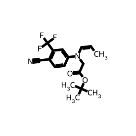 C/C=C\N(CC(=O)OC(C)(C)C)c1ccc(C#N)c(C(F)(F)F)c1